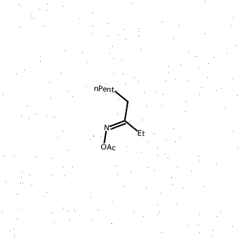 CCCCCCC(CC)=NOC(C)=O